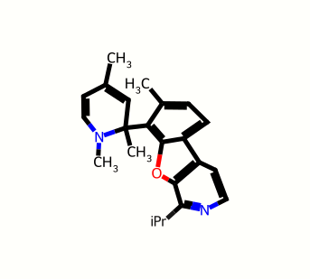 CC1=CC(C)(c2c(C)ccc3c2oc2c(C(C)C)nccc23)N(C)C=C1